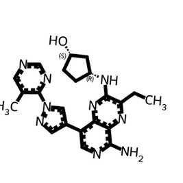 CCc1nc2c(N)ncc(-c3cnn(-c4ncncc4C)c3)c2nc1N[C@@H]1CC[C@H](O)C1